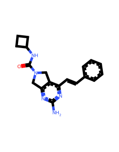 Nc1nc(/C=C/c2ccccc2)c2c(n1)CN(C(=O)NC1CCC1)C2